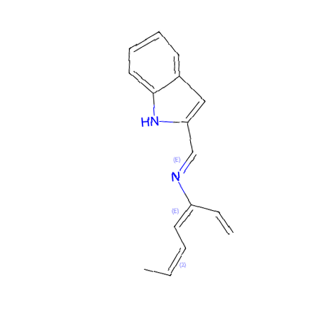 C=CC(=C\C=C/C)/N=C/c1cc2ccccc2[nH]1